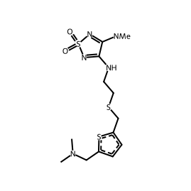 CNC1=NS(=O)(=O)N=C1NCCSCc1ccc(CN(C)C)s1